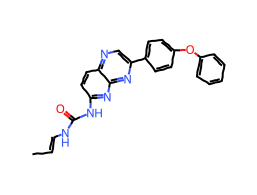 C/C=C/NC(=O)Nc1ccc2ncc(-c3ccc(Oc4ccccc4)cc3)nc2n1